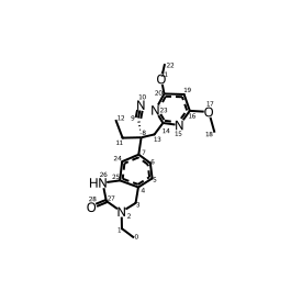 CCN1Cc2ccc([C@@](C#N)(CC)Cc3nc(OC)cc(OC)n3)cc2NC1=O